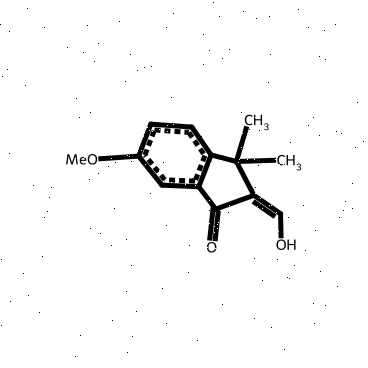 COc1ccc2c(c1)C(=O)/C(=C\O)C2(C)C